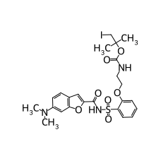 CN(C)c1ccc2cc(C(=O)NS(=O)(=O)c3ccccc3OCCNC(=O)OC(C)(C)CI)oc2c1